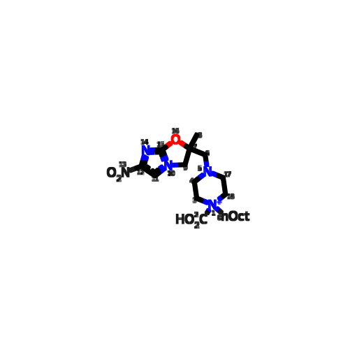 CCCCCCCC[N+]1(C(=O)O)CCN(CC2(C)Cn3cc([N+](=O)[O-])nc3O2)CC1